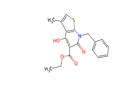 CCOC(=O)c1c(O)c2c(C)csc2n(Cc2ccccc2)c1=O